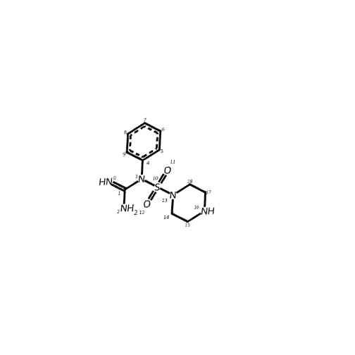 N=C(N)N(c1ccccc1)S(=O)(=O)N1CCNCC1